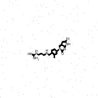 CCc1cc2cn(-c3ccc(CNCCCNC(=N)N)c(C)c3)c(=O)nc2[nH]1